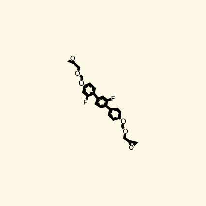 Fc1cc(OCOCC2CO2)ccc1-c1ccc(-c2ccc(OCOCC3CO3)cc2)c(F)c1